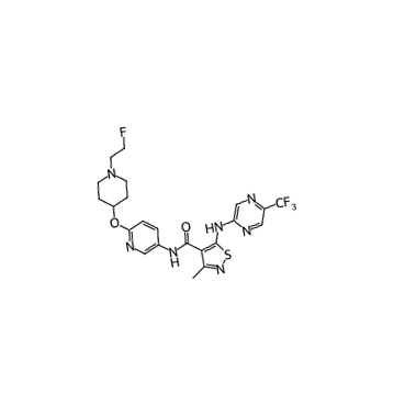 Cc1nsc(Nc2cnc(C(F)(F)F)cn2)c1C(=O)Nc1ccc(OC2CCN(CCF)CC2)nc1